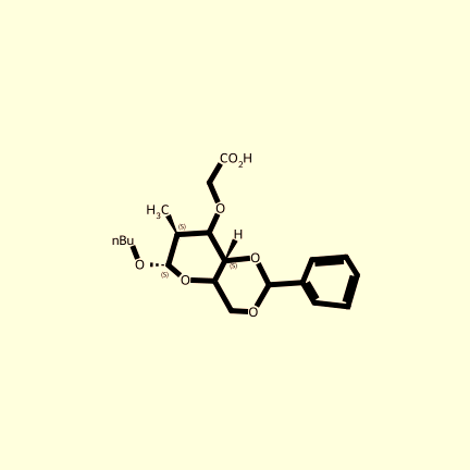 CCCCO[C@H]1OC2COC(c3ccccc3)O[C@H]2C(OCC(=O)O)[C@@H]1C